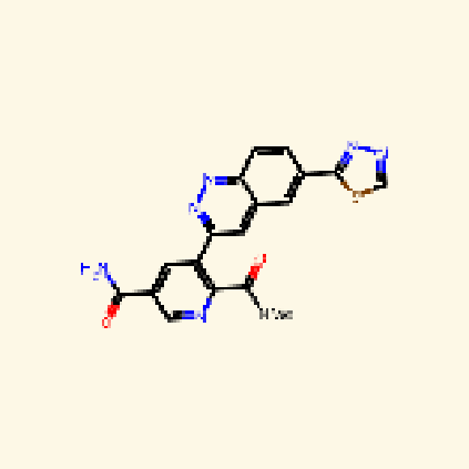 CNC(=O)c1ncc(C(N)=O)cc1-c1cc2cc(-c3nncs3)ccc2nn1